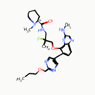 CCCOCc1ncc(-c2ccc3ncc(NC)nc3c2OCC(C)(F)CNC(=O)[C@@H]2CCCCN2C)cn1